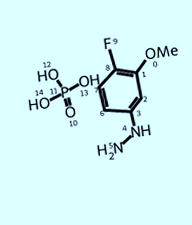 COc1cc(NN)ccc1F.O=P(O)(O)O